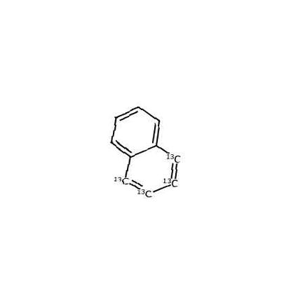 c1ccc2[13cH][13cH][13cH][13cH]c2c1